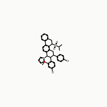 COc1cc(Cl)ccc1C1C(c2ccc(Cl)cc2)Cc2c(ccc3c2C(S(=O)(=O)C(C)C)Cc2ccccc2-3)C1n1cccc1